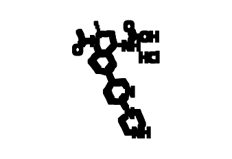 CC(=O)N1c2ccc(-c3ccc(N4CCNCC4)nc3)cc2[C@@H](NC(=O)O)C[C@H]1C.Cl